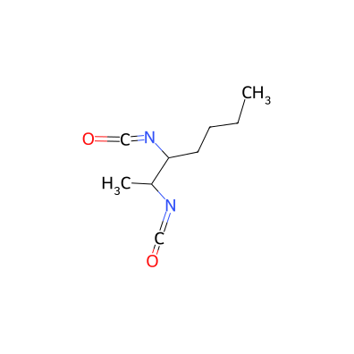 CCCCC(N=C=O)C(C)N=C=O